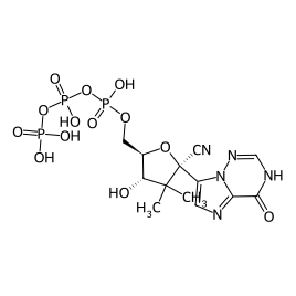 CC1(C)[C@H](O)[C@@H](COP(=O)(O)OP(=O)(O)OP(=O)(O)O)O[C@@]1(C#N)c1cnc2c(=O)[nH]cnn12